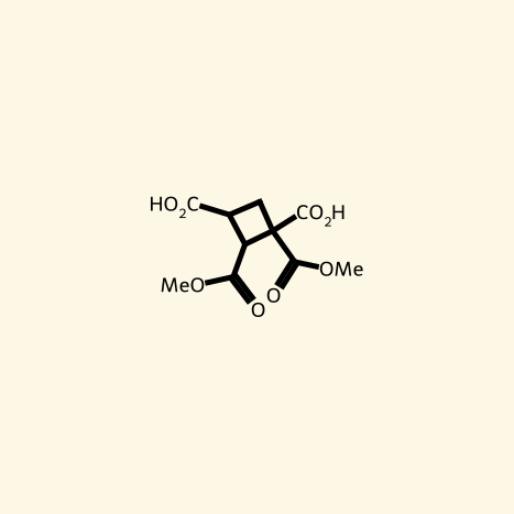 COC(=O)C1C(C(=O)O)CC1(C(=O)O)C(=O)OC